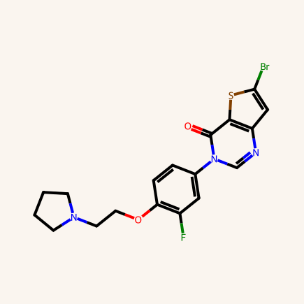 O=c1c2sc(Br)cc2ncn1-c1ccc(OCCN2CCCC2)c(F)c1